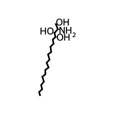 CCCCCCCCCCCCCCCC[C@@H](O)[C@@H](O)[C@@H](N)CO